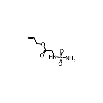 C=CCOC(=O)CNS(N)(=O)=O